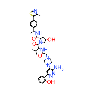 Cc1ncsc1-c1ccc([C@H](C)NC(=O)[C@@H]2C[C@@H](O)CN2C(=O)C(NC(=O)CN2CCN(c3cc(-c4ccccc4O)nnc3N)CC2)C(C)C)cc1